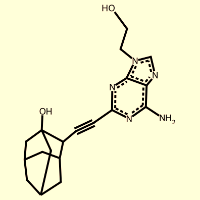 Nc1nc(C#CC2C3CC4CC(C3)CC2(O)C4)nc2c1ncn2CCO